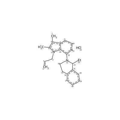 C=CCn1c(C)c(C)c2ccnc(N3CCc4ccccc4C3CC)c21.Cl